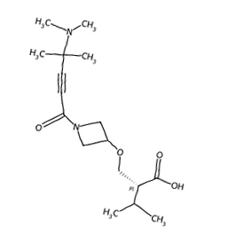 CC(C)[C@H](COC1CN(C(=O)C#CC(C)(C)N(C)C)C1)C(=O)O